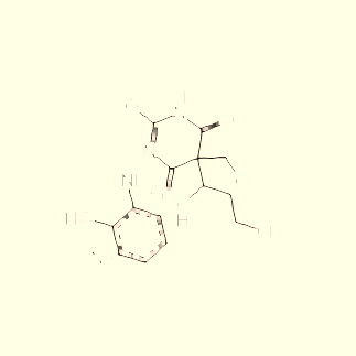 CCCC(C)C1(CC)C(=O)N=C([O-])NC1=O.Nc1ccccc1O.[Na+]